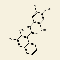 COc1cc(OC)c(NC(=O)c2c(C=O)c(O)cc3ccccc23)cc1Cl